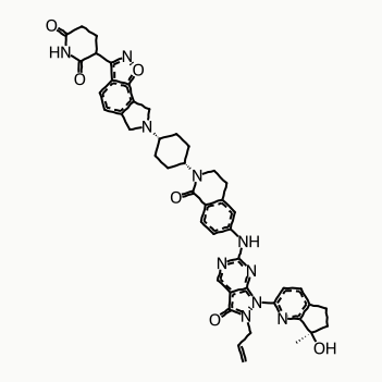 C=CCn1c(=O)c2cnc(Nc3ccc4c(c3)CCN([C@H]3CC[C@@H](N5Cc6ccc7c(C8CCC(=O)NC8=O)noc7c6C5)CC3)C4=O)nc2n1-c1ccc2c(n1)[C@](C)(O)CC2